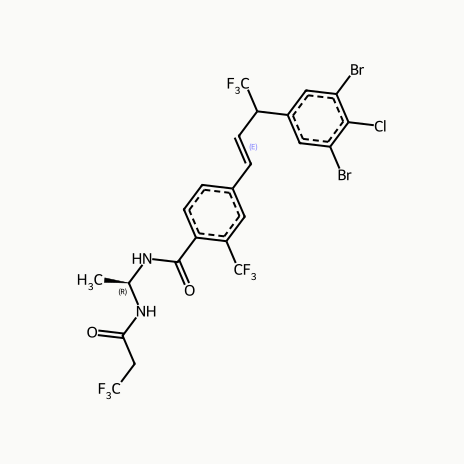 C[C@H](NC(=O)CC(F)(F)F)NC(=O)c1ccc(/C=C/C(c2cc(Br)c(Cl)c(Br)c2)C(F)(F)F)cc1C(F)(F)F